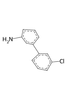 Nc1cccc(-c2cccc(Cl)c2)c1